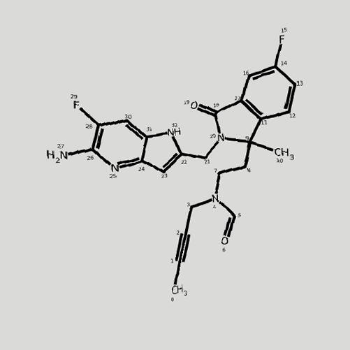 CC#CCN(C=O)CCC1(C)c2ccc(F)cc2C(=O)N1Cc1cc2nc(N)c(F)cc2[nH]1